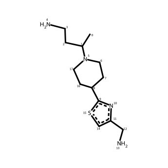 CC(CCN)N1CCC(c2nc(CN)cs2)CC1